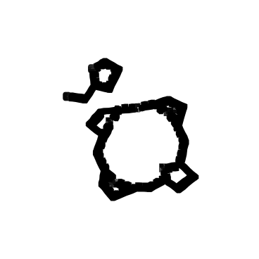 C1=Cc2cc3ccc(cc4nc(cc5ccc(cc1n2)[nH]5)C=C4)[nH]3.O=Cc1ccco1